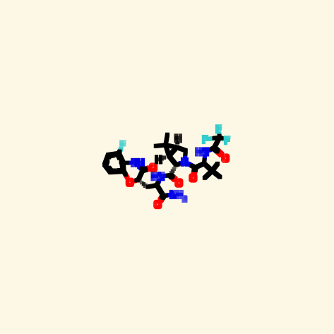 CC(C)(C)C(NC(=O)C(F)(F)F)C(=O)N1C[C@H]2[C@@H]([C@H]1C(=O)NC(C[C@@H]1Oc3cccc(F)c3NC1=O)C(N)=O)C2(C)C